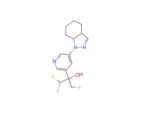 OC(CF)(c1cncc(N2N=CC3CCCCC32)c1)C(F)F